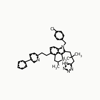 CC1Cc2c(CCc3ccc(-c4ccccc4)cn3)ccc3c2c(c(CC(C)(C)Cc2nnn[nH]2)n3Cc2ccc(Cl)cc2)S1